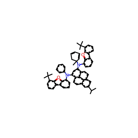 CC(C)c1cc2ccc3c(N(c4ccccc4)c4cccc5c4oc4c(C(C)(C)C)cccc45)cc(N(c4cccc5c4oc4c(C(C)(C)C)cccc45)C4(C)C=CC=CC4)c4ccc(c1)c2c34